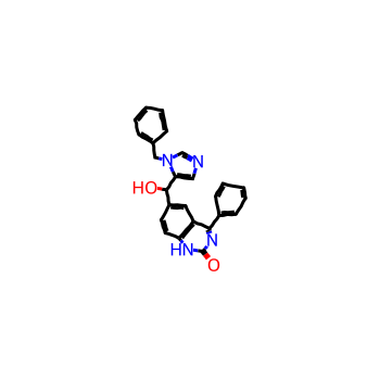 O=c1nc(-c2ccccc2)c2cc(C(O)c3cncn3Cc3ccccc3)ccc2[nH]1